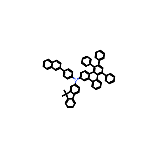 CC1(C)c2ccccc2-c2ccc(N(c3ccc(-c4ccc5ccccc5c4)cc3)c3ccc4c(c3)c3ccccc3c3c(-c5ccccc5)cc(-c5ccccc5)c(-c5ccccc5)c43)cc21